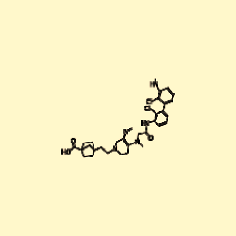 C=NC1=C(N(C)CC(=O)Nc2cccc(-c3cccc(NC)c3Cl)c2Cl)CCN(CCC23CCC(C(=O)O)(CC2)C3)C1